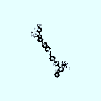 C=C1CCC(N2Cc3cc(N4CCC5(CCN(CCC6CCN(c7ncc(C8c9[nH]c%10ccccc%10c9CCN8CC(C)(C)F)cn7)CC6)CC5)CC4)ccc3C2=C)C(=C)N1